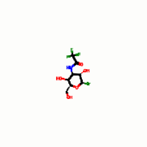 O=C(N[C@H]1[C@H](O)[C@@H](Br)O[C@H](CO)[C@H]1O)C(F)(F)F